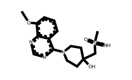 COc1cccc2c(N3CCC(O)(CS(C)(=N)=O)CC3)ncnc12